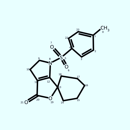 Cc1ccc(S(=O)(=O)N2CCC3=C2C2(CCCCC2)OC3=O)cc1